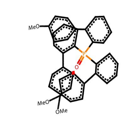 COc1ccc(-c2ccccc2P(=O)(c2ccccc2-c2ccc(OC)cc2)c2ccccc2-c2ccc(OC)cc2)cc1